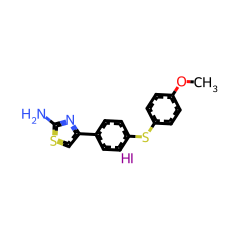 COc1ccc(Sc2ccc(-c3csc(N)n3)cc2)cc1.I